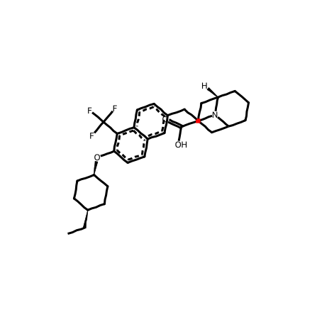 CC[C@H]1CC[C@@H](Oc2ccc3cc(CCN4C5CCC[C@H]4CC(C(=O)O)C5)ccc3c2C(F)(F)F)CC1